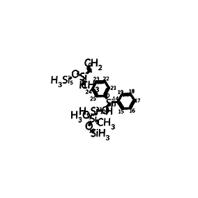 C=C[SiH](C)O[SiH3].C[Si](C)(O[SiH3])[SiH2]O[SiH](c1ccccc1)c1ccccc1